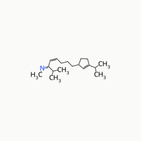 C/N=C(/C=C\CCCC1C=C(C(C)C)CC1)C(C)C